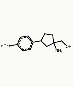 CCCCCCCCc1ccc(C2CCC(N)(CO)C2)cc1